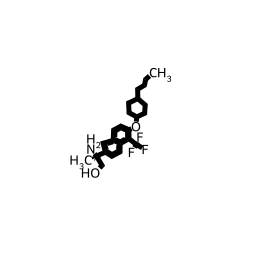 CCCCC1CCC(Oc2ccc3cc([C@@](C)(N)CO)ccc3c2C(F)(F)F)CC1